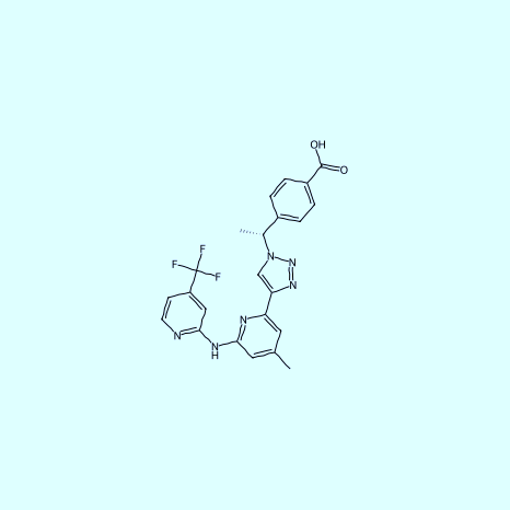 Cc1cc(Nc2cc(C(F)(F)F)ccn2)nc(-c2cn([C@H](C)c3ccc(C(=O)O)cc3)nn2)c1